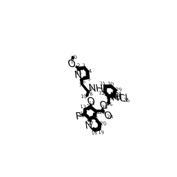 COc1cccc(C[C@@H](N)COc2cc(F)c3ncccc3c2C(=O)OCc2ccccc2)n1.Cl.Cl